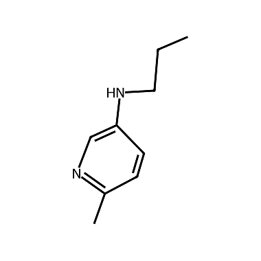 CCCNc1ccc(C)nc1